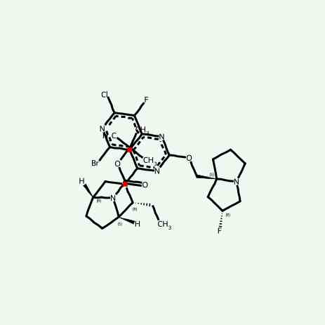 CC[C@@H]1[C@@H]2CC[C@H](CN1c1nc(OC[C@@]34CCCN3C[C@H](F)C4)nc3c(F)c(Cl)nc(Br)c13)N2C(=O)OC(C)(C)C